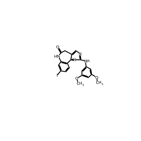 COc1cc(Nc2ncc3c(n2)-c2ccc(I)cc2NC(=O)C3)cc(OC)c1